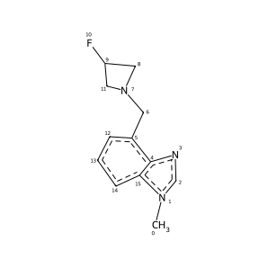 Cn1cnc2c(CN3CC(F)C3)cccc21